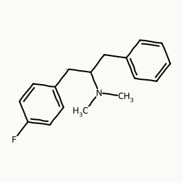 CN(C)C([CH]c1ccc(F)cc1)Cc1ccccc1